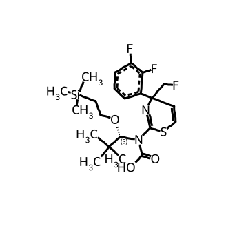 CC(C)(C)[C@H](OCC[Si](C)(C)C)N(C(=O)O)C1=NC(CF)(c2cccc(F)c2F)C=CS1